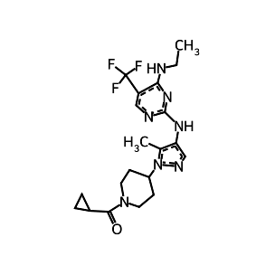 CCNc1nc(Nc2cnn(C3CCN(C(=O)C4CC4)CC3)c2C)ncc1C(F)(F)F